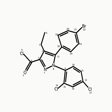 CCc1c(C(=O)Cl)nn(-c2ccc(Cl)cc2Cl)c1-c1ccc(Br)cc1